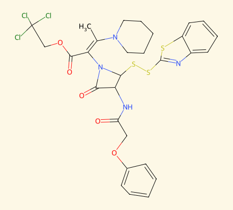 CC(=C(C(=O)OCC(Cl)(Cl)Cl)N1C(=O)C(NC(=O)COc2ccccc2)C1SSc1nc2ccccc2s1)N1CCCCC1